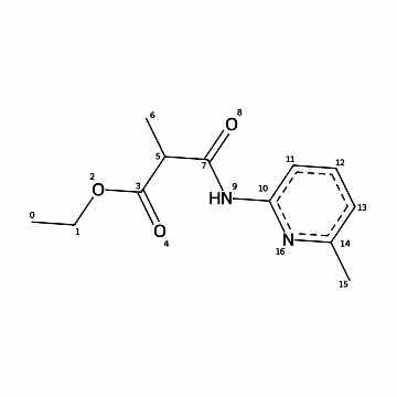 CCOC(=O)C(C)C(=O)Nc1cccc(C)n1